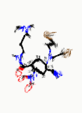 CN(C)CCCN(C)C(=O)c1cc(N(CCBr)CCBr)c(C#N)cc1[N+](=O)[O-]